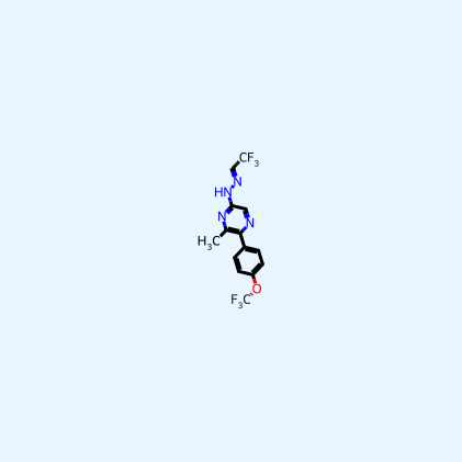 Cc1nc(NN=CC(F)(F)F)cnc1-c1ccc(OC(F)(F)F)cc1